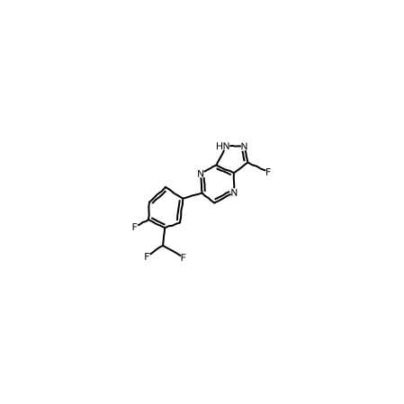 Fc1ccc(-c2cnc3c(F)n[nH]c3n2)cc1C(F)F